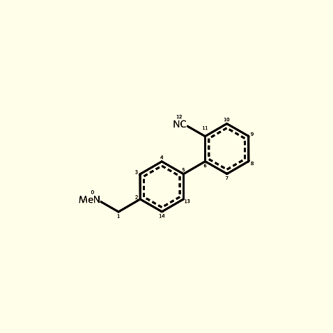 CNCc1ccc(-c2ccccc2C#N)cc1